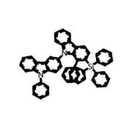 c1ccc(-c2c([Si](c3ccccc3)(c3ccccc3)c3ccccc3)ccc3c4ccccc4n(-c4ccc5c(c4)c4ccccc4n5-c4ccccc4)c23)cc1